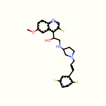 COc1ccc2ncc(F)c(C(O)CNC3CCN(C/C=C/c4cc(F)ccc4F)C3)c2c1